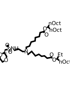 CCCCCCCCC(CC)OC(=O)CCCCCCCN(CCCCCCCC(=O)OC(CCCCCCCC)CCCCCCCC)CCCNS(=O)(=O)C[C@H]1COCCO1